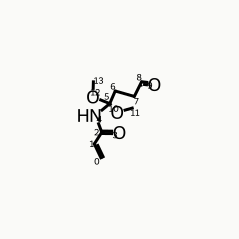 C=CC(=O)NC(CC[C]=O)(OC)OC